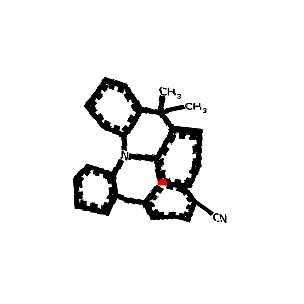 CC1(C)c2ccccc2N(c2ccccc2-c2ccc(C#N)cn2)c2ccccc21